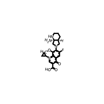 COc1c(N2C[C@@H]3CCCN[C@]3(N)C2)c(F)cc2c(=O)c(C(=O)O)cn(C3CC3)c12